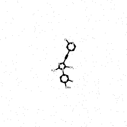 COc1ccc(-n2c(C)nc(C#Cc3ccnc(Cl)c3)c2C)cc1F